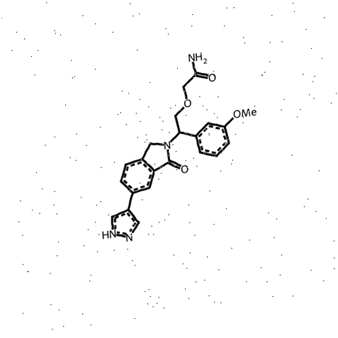 COc1cccc(C(COCC(N)=O)N2Cc3ccc(-c4cn[nH]c4)cc3C2=O)c1